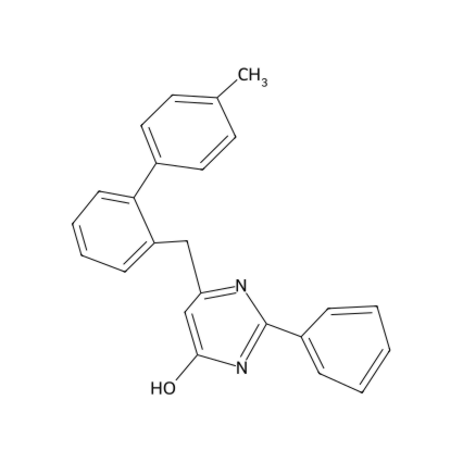 Cc1ccc(-c2ccccc2Cc2cc(O)nc(-c3ccccc3)n2)cc1